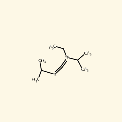 CC[N+](=C=NC(C)C)C(C)C